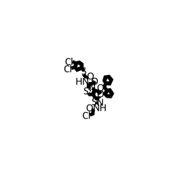 O=C(CCl)Nc1ncc(C2=C(C(=O)OC(c3ccccc3)c3ccccc3)N3C(=O)C(NC(=O)CSc4ccc(Cl)c(Cl)c4)C3SC2)s1